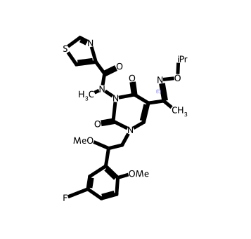 COc1ccc(F)cc1C(Cn1cc(/C(C)=N/OC(C)C)c(=O)n(N(C)C(=O)c2cscn2)c1=O)OC